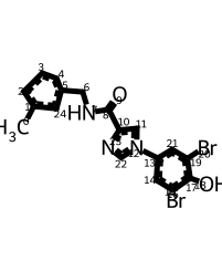 Cc1cccc(CNC(=O)c2cn(-c3cc(Br)c(O)c(Br)c3)cn2)c1